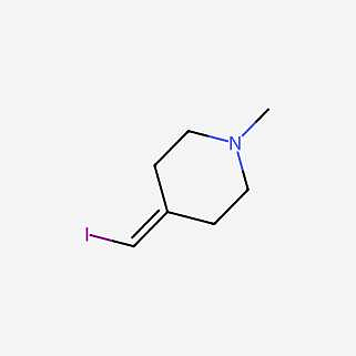 CN1CCC(=CI)CC1